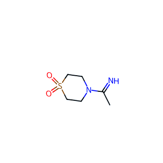 CC(=N)N1CCS(=O)(=O)CC1